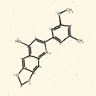 COc1cc(C)cc(-c2cc(O)c3cc4c(cc3n2)OCO4)c1